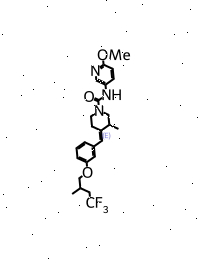 COc1ccc(NC(=O)N2CC/C(=C\c3cccc(OCC(C)CC(F)(F)F)c3)C(C)C2)cn1